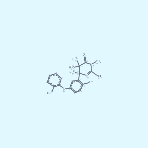 Cc1ccccc1Nc1ccc(F)c([C@@]2(C)N=C(N)N(C)C(=O)C2(C)C)c1